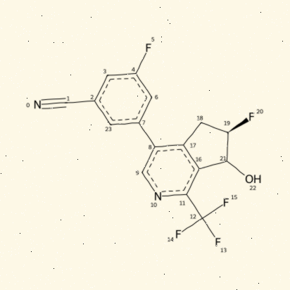 N#Cc1cc(F)cc(-c2cnc(C(F)(F)F)c3c2C[C@@H](F)C3O)c1